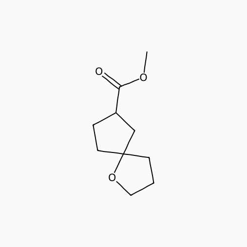 COC(=O)C1CCC2(CCCO2)C1